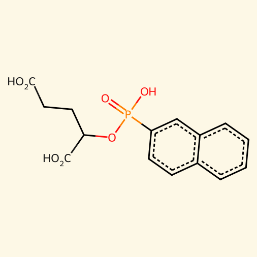 O=C(O)CCC(OP(=O)(O)c1ccc2ccccc2c1)C(=O)O